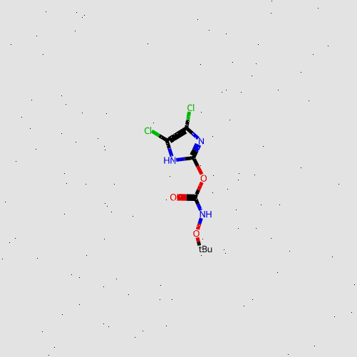 CC(C)(C)ONC(=O)Oc1nc(Cl)c(Cl)[nH]1